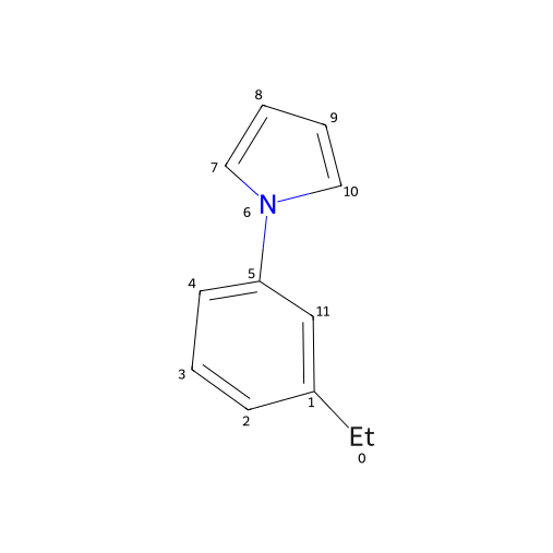 [CH2-][CH+]c1cccc(-n2cccc2)c1